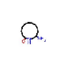 NC1CCCCCCCCCC(=O)NC1